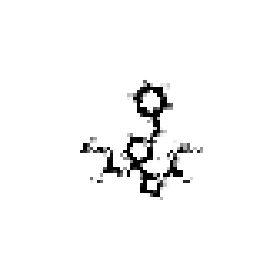 CC(C)(C)OC(=O)OC1(C2CCN2C(=O)OC(C)(C)C)CCN(Cc2ccccc2)C1